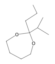 CCCC1(C(C)C)OCCCCO1